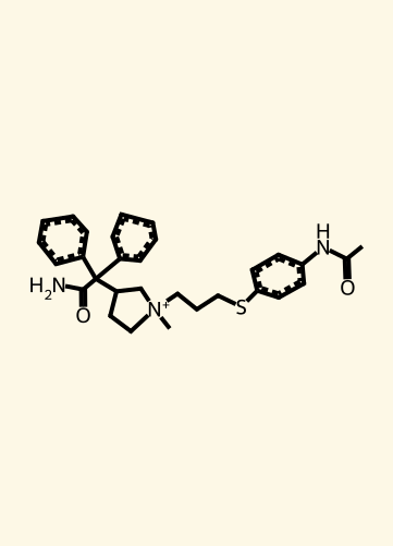 CC(=O)Nc1ccc(SCCC[N+]2(C)CCC(C(C(N)=O)(c3ccccc3)c3ccccc3)C2)cc1